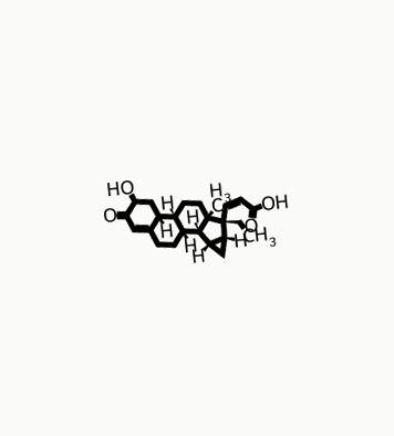 CC[C@@]1(/C=C\C(=O)O)[C@@H]2C[C@@H]2[C@H]2[C@@H]3CCC4=CC(=O)C(O)C[C@@H]4[C@H]3CC[C@@]21C